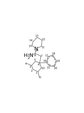 CC1CC(C)CC(CC(N)N2CCCCC2)(c2ccccc2)C1